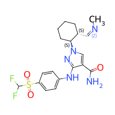 C/N=C\[C@H]1CCCC[C@@H]1n1cc(C(N)=O)c(Nc2ccc(S(=O)(=O)C(F)F)cc2)n1